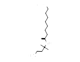 CCCCCCCCCCCCCCCCCC(=O)NC(C)(C)CCN